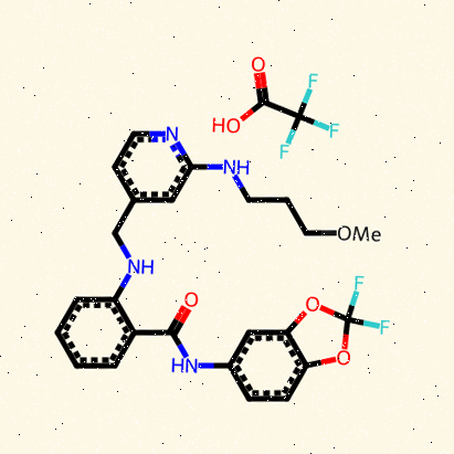 COCCCNc1cc(CNc2ccccc2C(=O)Nc2ccc3c(c2)OC(F)(F)O3)ccn1.O=C(O)C(F)(F)F